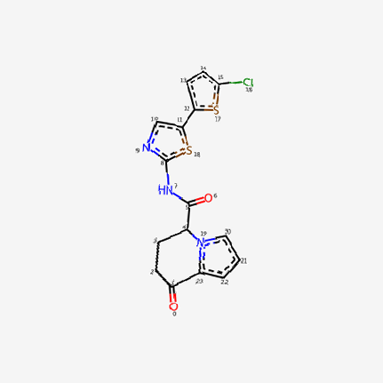 O=C1CCC(C(=O)Nc2ncc(-c3ccc(Cl)s3)s2)n2cccc21